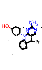 CC(C)C(c1ccccc1)c1cnc(N)nc1N[C@H]1CC[C@H](O)CC1